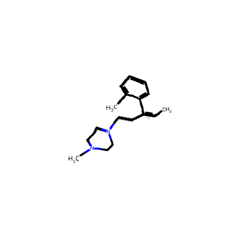 C/C=C(/CCN1CCN(C)CC1)c1ccccc1C